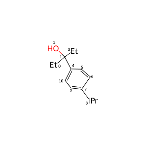 CCC(O)(CC)c1ccc(C(C)C)cc1